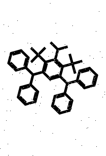 CC(C)c1c(C(C)(C)C)c(C(c2ccccc2)c2ccccc2)[c]c(C(c2ccccc2)c2ccccc2)c1C(C)(C)C